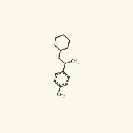 Cc1ccc(C(C)CC2CCCCC2)cc1